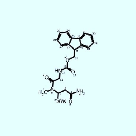 CSC(CC(N)=O)N(C)C(=O)CNC(=O)OCC1c2ccccc2-c2ccccc21